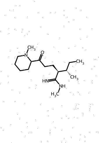 CC[C@H](C)[C@H](CCC(=O)C1CCCCN1C)C(=N)NC